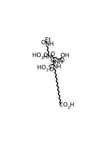 CCC(=O)NCCCCC(NC(=O)CCC(NC(=O)C(CS(=O)(=O)O)NC(=O)CCCCCCCCCCCCCCCCC(=O)O)C1OC1O)C(=O)O